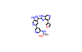 CCC(O)Nc1cncc(-c2cc3c(-c4nc5c(-c6ccoc6)cncc5[nH]4)n[nH]c3cn2)c1